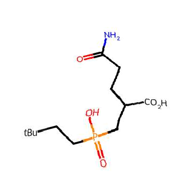 CC(C)(C)CCP(=O)(O)CC(CCC(N)=O)C(=O)O